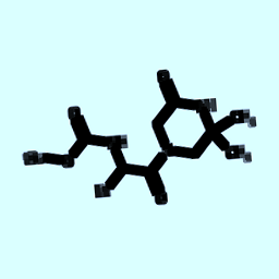 CCC(NC(=O)OC(C)(C)C)C(=O)N1CC(=O)NC(C)(C)C1